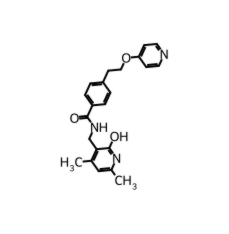 Cc1cc(C)c(CNC(=O)c2ccc(CCOc3ccncc3)cc2)c(O)n1